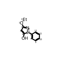 CCOc1cc(O)n(-c2ccccc2)n1